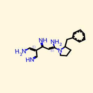 N=C/C(=C\N)C(=N)/C=C(\N)N1CCCC1Cc1ccccc1